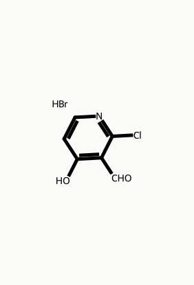 Br.O=Cc1c(O)ccnc1Cl